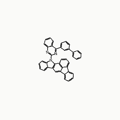 c1ccc(-c2cccc(-c3nc(-n4c5ccccc5c5cc6c7c(cccc7c54)-c4ccccc4-6)nc4ccccc34)c2)cc1